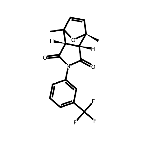 CC12C=C[C@@](C)(O1)[C@@H]1C(=O)N(c3cccc(C(F)(F)F)c3)C(=O)[C@@H]12